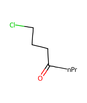 CCCC(=O)CCCCl